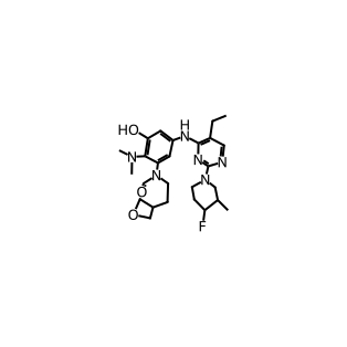 CCc1cnc(N2CCC(F)C(C)C2)nc1Nc1cc(O)c(N(C)C)c(N(C=O)CCC2COC2)c1